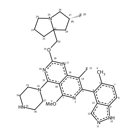 COc1nc(-c2c(C)ccc3[nH]ncc23)c(F)c2nc(OCC34CCCN3C[C@H](F)C4)nc(N3CCNCC3)c12